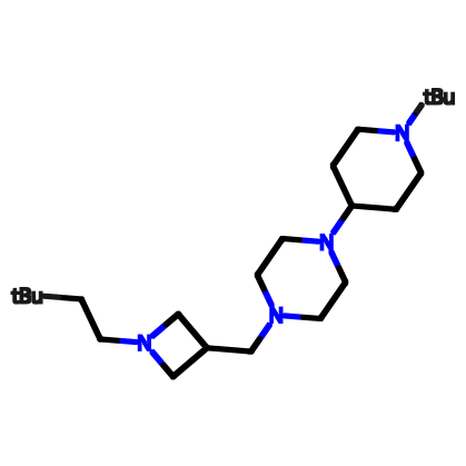 CC(C)(C)CCN1CC(CN2CCN(C3CCN(C(C)(C)C)CC3)CC2)C1